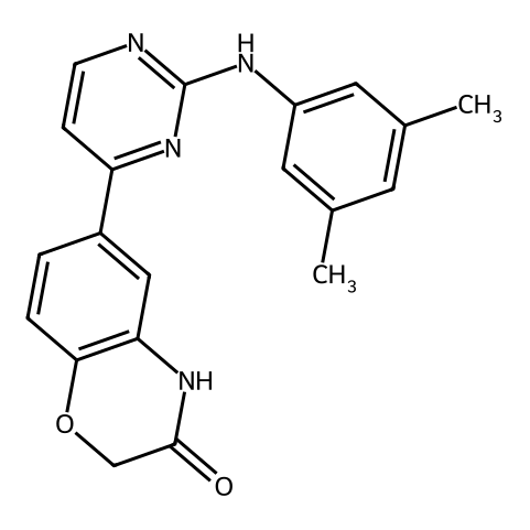 Cc1cc(C)cc(Nc2nccc(-c3ccc4c(c3)NC(=O)CO4)n2)c1